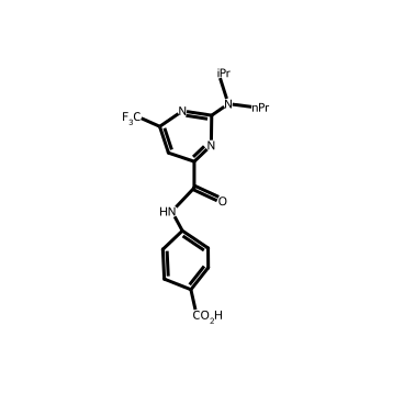 CCCN(c1nc(C(=O)Nc2ccc(C(=O)O)cc2)cc(C(F)(F)F)n1)C(C)C